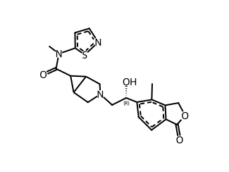 Cc1c([C@@H](O)CN2CC3C(C2)C3C(=O)N(C)c2ccns2)ccc2c1COC2=O